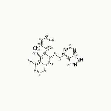 O=C1c2c(F)cccc2N=C(CCc2ncnc3[nH]ncc23)C1c1ccccc1Cl